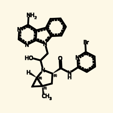 C[C@@]12C[C@@H](C(=O)Nc3cccc(Br)n3)N(C(O)Cn3c4ccccc4c4c(N)ncnc43)[C@@H]1C2